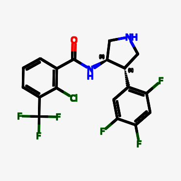 O=C(N[C@H]1CNC[C@@H]1c1cc(F)c(F)cc1F)c1cccc(C(F)(F)F)c1Cl